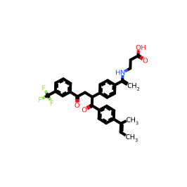 C=C(NCCC(=O)O)c1ccc(C(CC(=O)c2cccc(C(F)(F)F)c2)C(=O)c2ccc(/C(C)=C/C)cc2)cc1